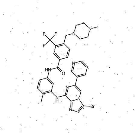 Cc1ccc(NC(=O)c2ccc(CN3CCN(C)CC3)c(C(F)(F)F)c2)cc1Nc1nc(-c2cccnc2)cn2c(Br)cnc12